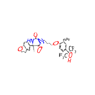 CCCc1cc(C(O)(C(F)(F)F)C(F)(F)F)ccc1OCCCCN1C(=O)NC(C)(c2ccc3c(c2)CCO3)C1=O